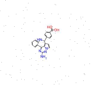 Nc1nc2c3c(ccn3n1)C(c1ccc(B(O)O)cc1)Nc1ccccc1-2